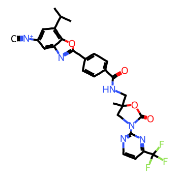 [C-]#[N+]c1cc(C(C)C)c2oc(-c3ccc(C(=O)NCC4(C)CN(c5nccc(C(F)(F)F)n5)C(=O)O4)cc3)nc2c1